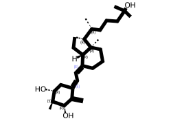 C=C1/C(=C/C=C2\CCC[C@]3(C)[C@@H]([C@H](C)CCCC(C)(C)O)CC[C@@H]23)C[C@@H](O)[C@H](C)[C@H]1O